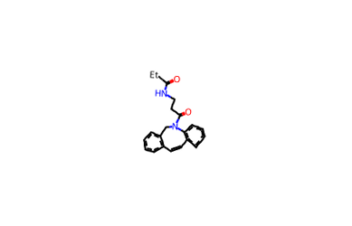 CCC(=O)NCCC(=O)N1Cc2ccccc2/C=C\c2ccccc21